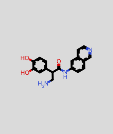 NCC(C(=O)Nc1ccc2cnccc2c1)c1ccc(O)c(O)c1